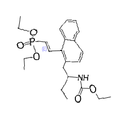 CCOC(=O)NC(CC)Cc1ccc2ccccc2c1/C=C/P(=O)(OCC)OCC